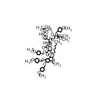 CCCCCCN(CC1=C(C(=O)OCc2ccc(OC)cc2)N2C(=O)[C@@H](NC(=O)/C(=N\O[C@@H](CC(=O)OC(C)(C)C)C(=O)OCc3ccc(OC)cc3)c3csc(NC(=O)OC(C)(C)C)n3)[C@H]2SC1)Cc1nn(CC)c2cc(OCc3ccc(OC)cc3)c(OCc3ccc(OC)cc3)cc2c1=O